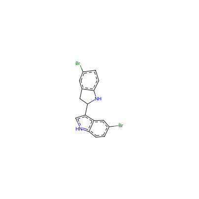 Brc1ccc2c(c1)CC(c1c[nH]c3ccc(Br)cc13)N2